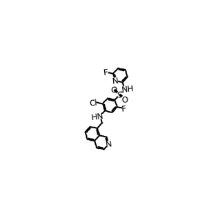 O=S(=O)(Nc1cccc(F)n1)c1cc(Cl)c(NCc2cccc3ccncc23)cc1F